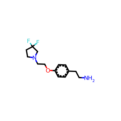 NCCc1ccc(OCCN2CCC(F)(F)C2)cc1